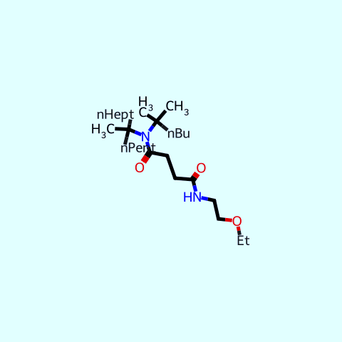 CCCCCCCC(C)(CCCCC)N(C(=O)CCC(=O)NCCOCC)C(C)(C)CCCC